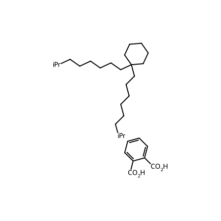 CC(C)CCCCCCC1(CCCCCCC(C)C)CCCCC1.O=C(O)c1ccccc1C(=O)O